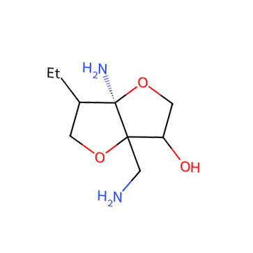 CCC1COC2(CN)C(O)CO[C@]12N